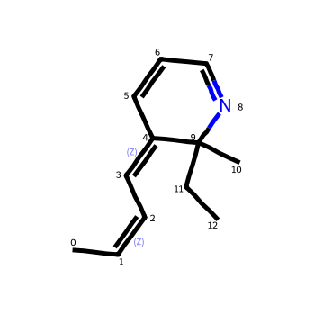 C/C=C\C=C1\C=CC=NC1(C)CC